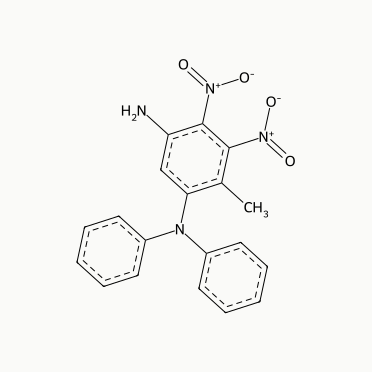 Cc1c(N(c2ccccc2)c2ccccc2)cc(N)c([N+](=O)[O-])c1[N+](=O)[O-]